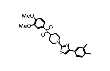 COc1ccc(S(=O)(=O)C2CCN(c3nc(-c4ccc(C)c(C)c4)cs3)CC2)cc1OC